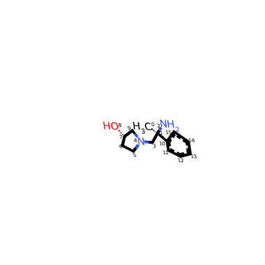 C[C@@](N)(CN1CC[C@H](O)C1)c1ccccc1